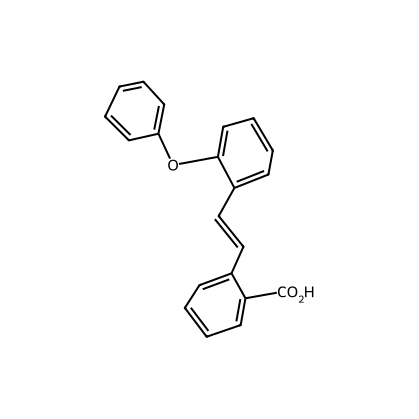 O=C(O)c1ccccc1/C=C/c1ccccc1Oc1ccccc1